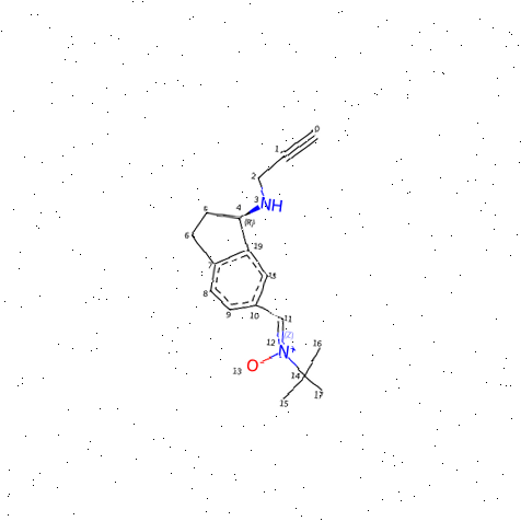 C#CCN[C@@H]1CCc2ccc(/C=[N+](\[O-])C(C)(C)C)cc21